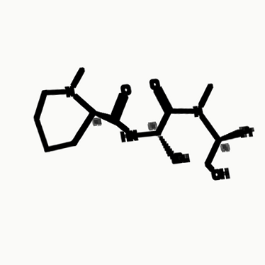 CC(C)[C@@H](CO)N(C)C(=O)[C@@H](NC(=O)[C@H]1CCCCN1C)C(C)(C)C